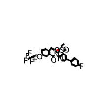 CCS(=O)(=O)c1cc(-c2ccc(F)cc2)cnc1-n1ncc2ccc(OCC(F)(F)C(F)(F)F)cc2c1=O